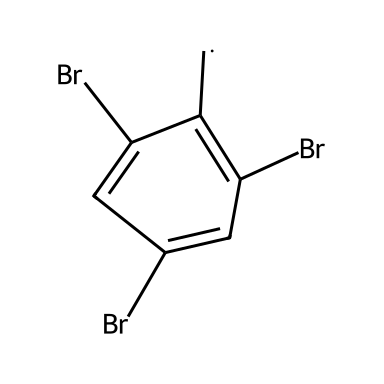 [CH2]c1c(Br)cc(Br)cc1Br